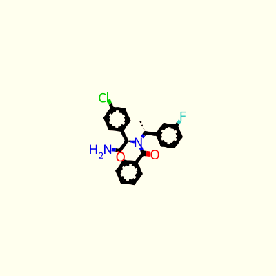 C[C@H](c1cccc(F)c1)N(C(=O)c1ccccc1)[C@@H](C(N)=O)c1ccc(Cl)cc1